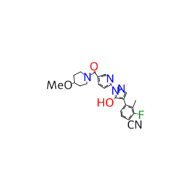 COC1CCN(C(=O)c2ccc(-n3ncc(-c4ccc(C#N)c(F)c4C)c3O)nc2)CC1